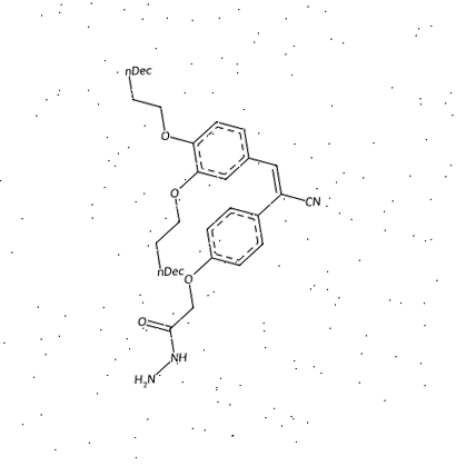 CCCCCCCCCCCCOc1ccc(C=C(C#N)c2ccc(OCC(=O)NN)cc2)cc1OCCCCCCCCCCCC